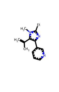 C=C(C)c1c(-c2cccnc2)nc(CC)n1C